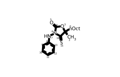 CCCCCCCCC1(C)OC(=O)N(Nc2ccccc2)C1=S